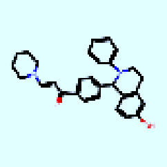 O=C(C=CN1CCCCC1)c1ccc(C2c3ccc(O)cc3CCN2c2ccccc2)cc1